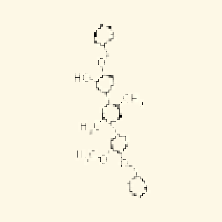 COc1cc(-c2cc(C)c(-c3ccc(OCc4ccccc4)c(O)c3)cc2C)ccc1OCc1ccccc1